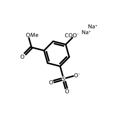 COC(=O)c1cc(C(=O)[O-])cc(S(=O)(=O)[O-])c1.[Na+].[Na+]